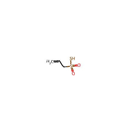 C=CCS(=O)(=O)S